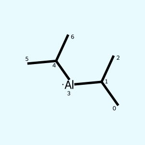 C[CH](C)[Al][CH](C)C